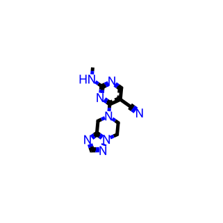 CNc1ncc(C#N)c(N2CCn3ncnc3C2)n1